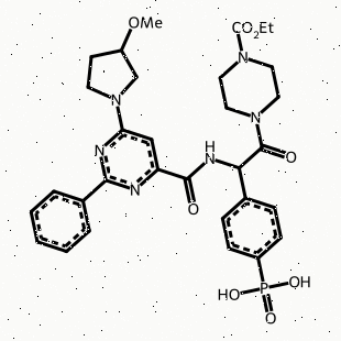 CCOC(=O)N1CCN(C(=O)C(NC(=O)c2cc(N3CCC(OC)C3)nc(-c3ccccc3)n2)c2ccc(P(=O)(O)O)cc2)CC1